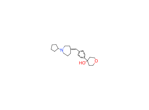 OC1(c2ccc(C=C3CCCN(C4CCCC4)CC3)cc2)CCOCC1